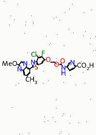 COc1cnc2c(-c3nc4c(Cl)c(F)c(OCCOC(=O)Nc5ccc(C(=O)O)nc5)cc4s3)cc(C)cc2n1